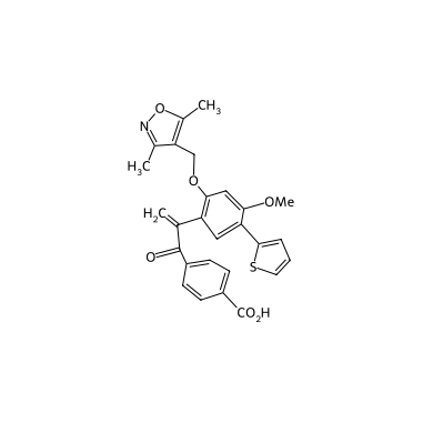 C=C(C(=O)c1ccc(C(=O)O)cc1)c1cc(-c2cccs2)c(OC)cc1OCc1c(C)noc1C